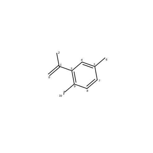 C=C(C)c1cc(C)ccc1I